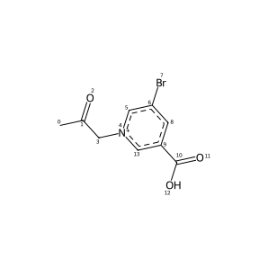 CC(=O)C[n+]1cc(Br)cc(C(=O)O)c1